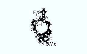 CCn1c(-c2cccnc2[C@H](C)OC)c2c3cc(ccc31)-c1csc(n1)C[C@H](NC(=O)N1CC[C@H]1C(F)(F)F)C(=O)N1CCC[C@H](N1)C(=O)OCC(C)(C)C2